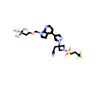 C[Si](C)(C)CCOCn1ccc2c(-c3cnn(C4(CC#N)CN(S(=O)(=O)CCC(F)(F)F)C4)c3)ccnc21